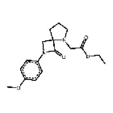 CCOC(=O)CN1CCCC12CN(c1ccc(OC)cc1)C2=O